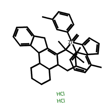 Cl.Cl.[CH2]=[Zr]([C]1=CC=CC1)([c]1cccc(C)c1)([c]1cccc(C)c1)[C]1(C)C2=C3Cc4ccccc4C3C3CCCCC3C2CC(C)C1(C)C